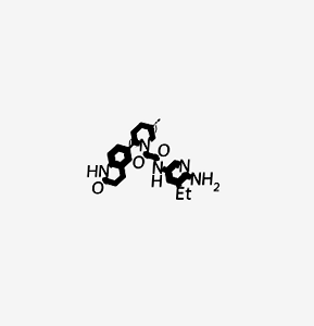 CCc1cc(NC(=O)C(=O)N2C[C@@H](C)CC[C@@H]2c2ccc3c(c2)CCC(=O)N3)cnc1N